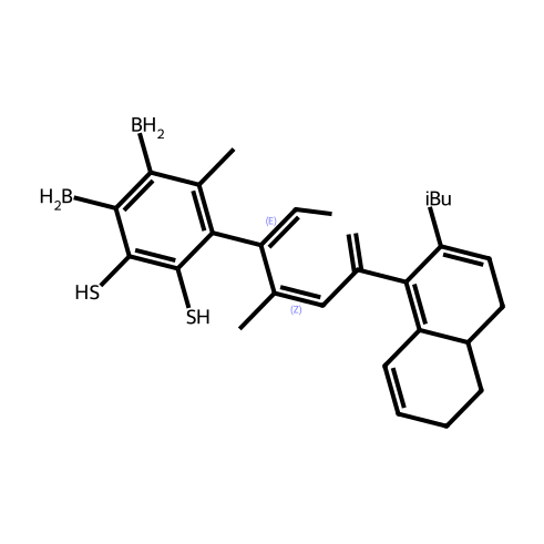 Bc1c(B)c(S)c(S)c(C(=C/C)/C(C)=C\C(=C)C2=C3C=CCCC3CC=C2C(C)CC)c1C